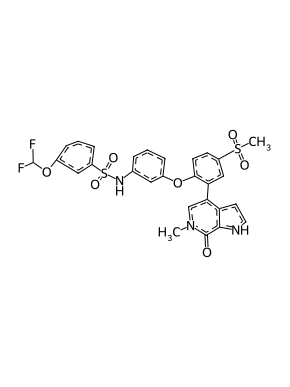 Cn1cc(-c2cc(S(C)(=O)=O)ccc2Oc2cccc(NS(=O)(=O)c3cccc(OC(F)F)c3)c2)c2cc[nH]c2c1=O